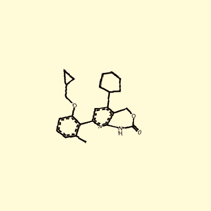 Cc1cccc(OCC2CC2)c1-c1cc(C2CCCCC2)c2c(n1)NC(=O)OC2